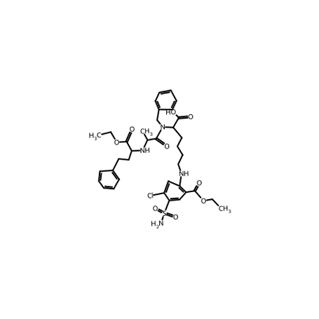 CCOC(=O)c1cc(S(N)(=O)=O)c(Cl)cc1NCCCCC(C(=O)O)N(Cc1ccccc1)C(=O)C(C)NC(CCc1ccccc1)C(=O)OCC